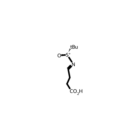 CC(C)(C)[S@@+]([O-])/N=C/CCC(=O)O